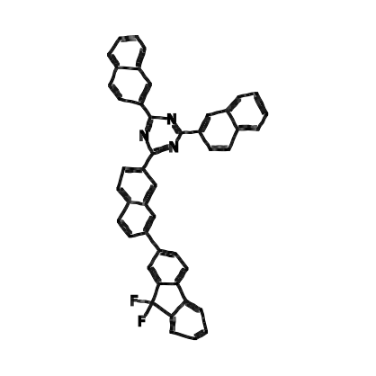 FC1(F)c2ccccc2-c2ccc(-c3ccc4ccc(-c5nc(-c6ccc7ccccc7c6)nc(-c6ccc7ccccc7c6)n5)cc4c3)cc21